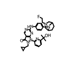 CC(C)(O)c1cccc(-n2c3nc(Nc4ccc(N5CC6CCC5CN(CCF)C6)cc4)ncc3c(=O)n2CC2CC2)n1